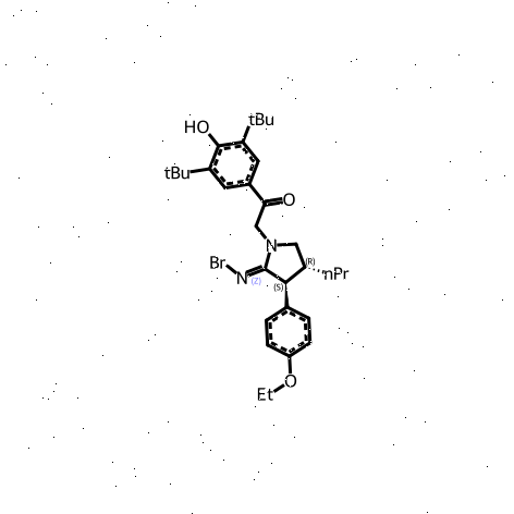 CCC[C@H]1CN(CC(=O)c2cc(C(C)(C)C)c(O)c(C(C)(C)C)c2)/C(=N\Br)[C@@H]1c1ccc(OCC)cc1